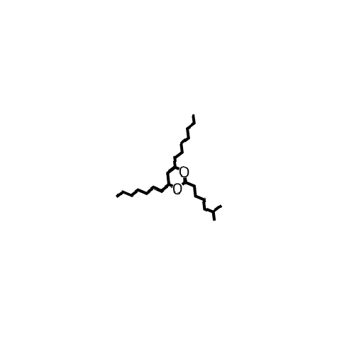 CCCCCCCC1CC(CCCCCCC)OC(CCCCC(C)C)O1